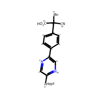 CCCCCCCc1cnc(-c2ccc(C(C#N)(C(=O)O)C(C)CC)cc2)cn1